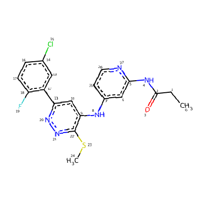 CCC(=O)Nc1cc(Nc2cc(-c3cc(Cl)ccc3F)nnc2SC)ccn1